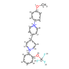 COc1ccc(-[n+]2ccc(-c3cc[n+](-c4ccccc4OC(F)(F)F)cc3)cc2)cc1